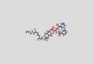 Cc1c(C)c2c(c(C)c1OC(=O)OC(COC(=O)c1cccnc1)COC(=O)c1cccnc1)CCC(C)(CCCC(C)CCCC(C)CCCC(C)C)O2